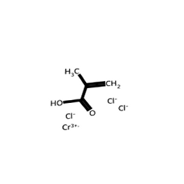 C=C(C)C(=O)O.[Cl-].[Cl-].[Cl-].[Cr+3]